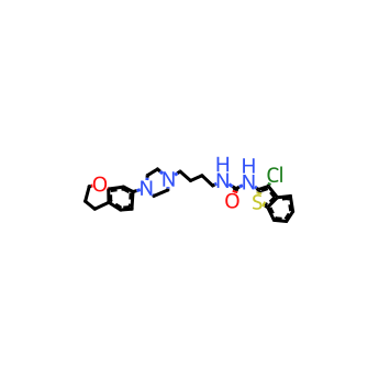 O=C(NCCCCN1CCN(c2ccc3c(c2)OCCC3)CC1)Nc1sc2ccccc2c1Cl